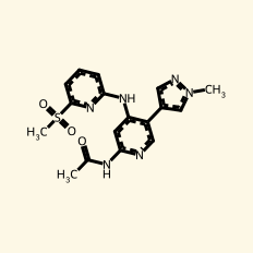 CC(=O)Nc1cc(Nc2cccc(S(C)(=O)=O)n2)c(-c2cnn(C)c2)cn1